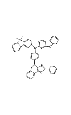 CC1(C)c2ccccc2-c2cc(N(c3ccc(-c4cc5ccccc5c5oc(-c6ccccc6)nc45)cc3)c3ccc4c(c3)oc3ccccc34)ccc21